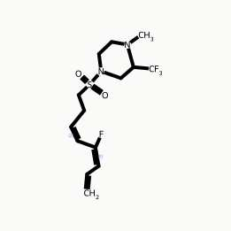 C=C/C=C(F)\C=C/CCS(=O)(=O)N1CCN(C)C(C(F)(F)F)C1